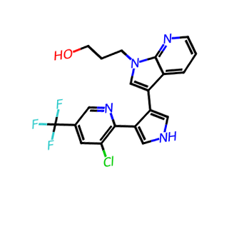 OCCCn1cc(-c2c[nH]cc2-c2ncc(C(F)(F)F)cc2Cl)c2cccnc21